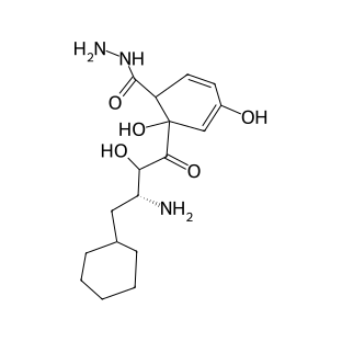 NNC(=O)C1C=CC(O)=CC1(O)C(=O)C(O)[C@H](N)CC1CCCCC1